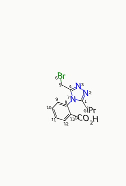 CC(C)c1nnc(CBr)n1-c1ccccc1C(=O)O